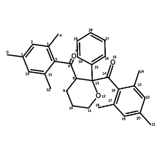 Cc1cc(C)c(C(=O)C2CCCOC2(C(=O)c2c(C)cc(C)cc2C)c2ccccc2)c(C)c1